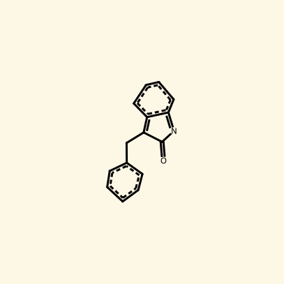 O=C1N=c2ccccc2=C1Cc1ccccc1